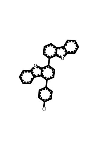 Clc1ccc(-c2ccc(-c3cccc4c3oc3ccccc34)c3oc4ccccc4c23)cc1